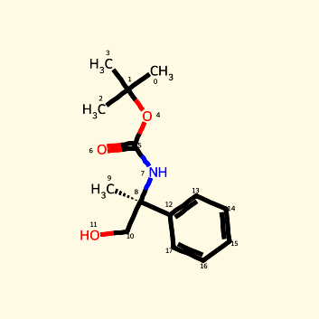 CC(C)(C)OC(=O)N[C@](C)(CO)c1ccccc1